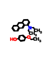 CCN(CC)c1cccc2cc3ccccc3cc12.CCOc1ccc(O)cc1